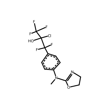 CN(C1=NCCO1)c1ccc(C(F)(F)C(O)(Cl)C(F)(F)F)cc1